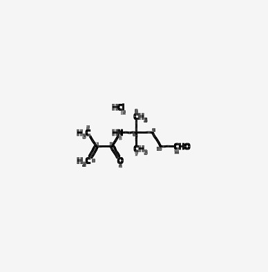 C=C(C)C(=O)NC(C)(C)CCC=O.Cl